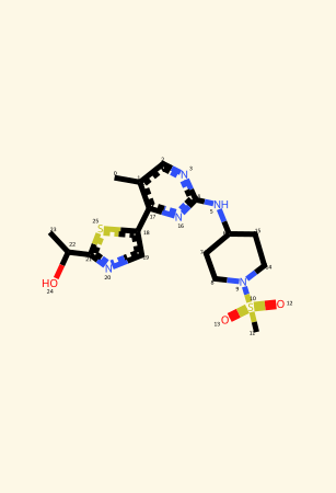 Cc1cnc(NC2CCN(S(C)(=O)=O)CC2)nc1-c1cnc(C(C)O)s1